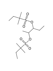 CCC(OS(=O)(=O)C(C)(C)CC)C(C)OS(=O)(=O)C(C)(C)CC